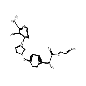 C=CCNC(=O)C(C)c1ccc(O[C@@H]2CCN(c3ccnc(NCCC)c3F)C2)cc1